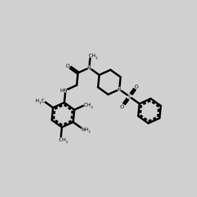 Cc1cc(C)c(NCC(=O)N(C)C2CCN(S(=O)(=O)c3ccccc3)CC2)c(C)c1N